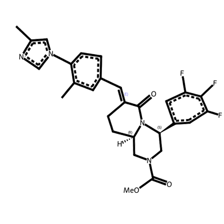 COC(=O)N1C[C@H]2CC/C(=C\c3ccc(-n4cnc(C)c4)c(C)c3)C(=O)N2[C@@H](c2cc(F)c(F)c(F)c2)C1